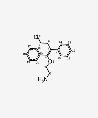 NCCOC(=C(CCCl)c1ccccc1)c1ccccc1